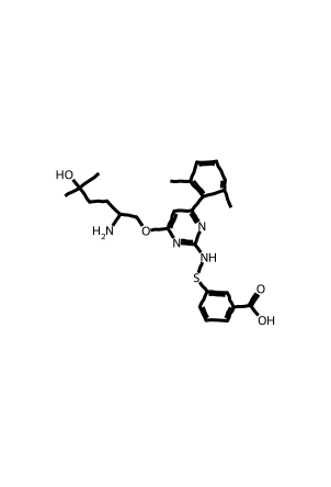 Cc1cccc(C)c1-c1cc(OCC(N)CCC(C)(C)O)nc(NSc2cccc(C(=O)O)c2)n1